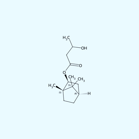 CC(O)CC(=O)O[C@H]1C[C@H]2CC[C@@]1(C)C2(C)C